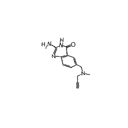 C#CCN(C)Cc1ccc2nc(N)[nH]c(=O)c2c1